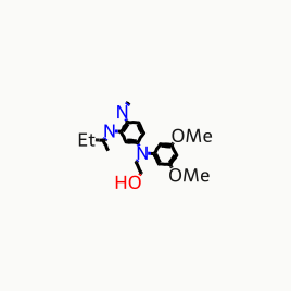 C=Nc1ccc(N(CCO)c2cc(OC)cc(OC)c2)cc1/N=C(\C)CC